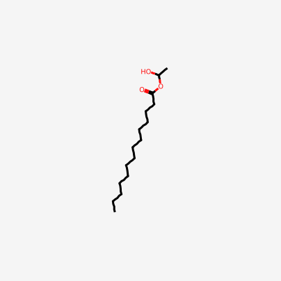 CCCCCCCCCCCCCC(=O)OC(C)O